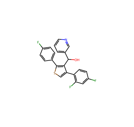 OC(c1cccnc1)c1c(-c2ccc(F)cc2F)csc1-c1ccc(F)cc1